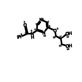 CC(C)C(=O)Nc1cncc(OC[C@@H](O)CO)n1